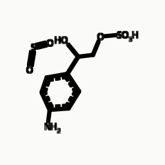 Nc1ccc(C(O)COS(=O)(=O)O)cc1.O=S=O